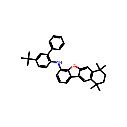 CC(C)(C)c1ccc(Nc2cccc3c2oc2cc4c(cc23)C(C)(C)CCC4(C)C)c(-c2ccccc2)c1